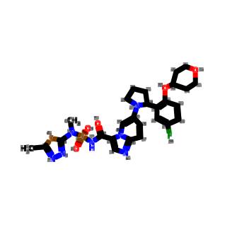 Cc1nnc(N(C)S(=O)(=O)NC(=O)c2cnc3ccc(N4CCCC4c4cc(F)ccc4OC4CCOCC4)cn23)s1